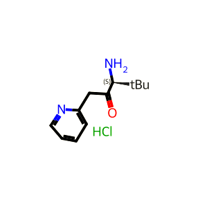 CC(C)(C)[C@H](N)C(=O)Cc1ccccn1.Cl